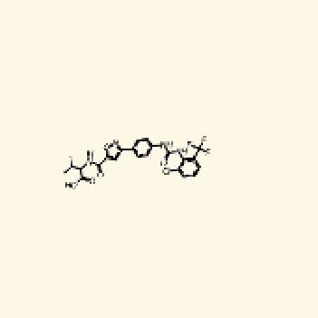 CC(C)C(NC(=O)c1cc(-c2ccc(NC(=O)Nc3c(Cl)cccc3C(F)(F)F)cc2)no1)C(=O)O